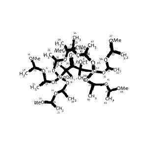 CCCCCCCCC(C)(C(=O)C(C)(CCCCCCCC)[Si](OC(C)OC(C)OC)(OC(C)OC(C)OC)OC(C)OC(C)OC)[Si](OC(C)OC(C)OC)(OC(C)OC(C)OC)OC(C)OC(C)OC